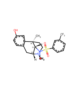 CN1CC[C@]2(C)c3cc(O)ccc3C[C@@H]1[C@H]2N(C)S(=O)(=O)c1cccc(C(F)(F)F)c1